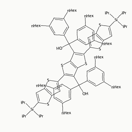 CCCCCCc1cc(CCCCCC)cc(C(O)(c2cc(CCCCCC)cc(CCCCCC)c2)c2c(-c3cc4sc([Si](C(C)C)(C(C)C)C(C)C)cc4s3)sc3c(C(O)(c4cc(CCCCCC)cc(CCCCCC)c4)c4cc(CCCCCC)cc(CCCCCC)c4)c(-c4cc5sc([Si](C(C)C)(C(C)C)C(C)C)cc5s4)sc23)c1